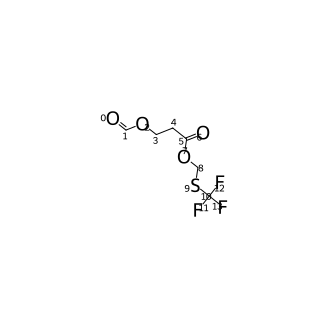 O=COCCC(=O)OCSC(F)(F)F